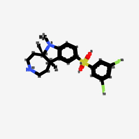 CN1c2ccc(S(=O)(=O)c3cc(F)cc(F)c3)cc2[C@@H]2CCNCC[C@H]21